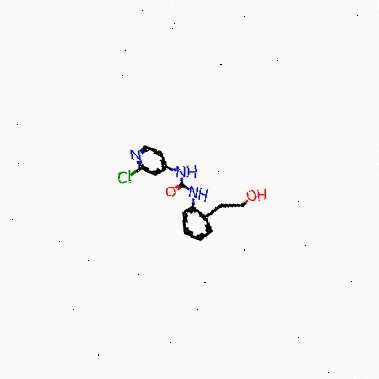 O=C(Nc1ccnc(Cl)c1)Nc1ccccc1CCO